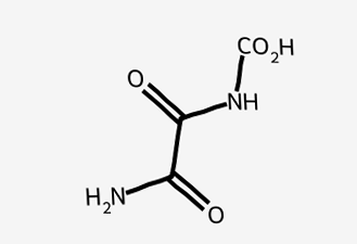 NC(=O)C(=O)NC(=O)O